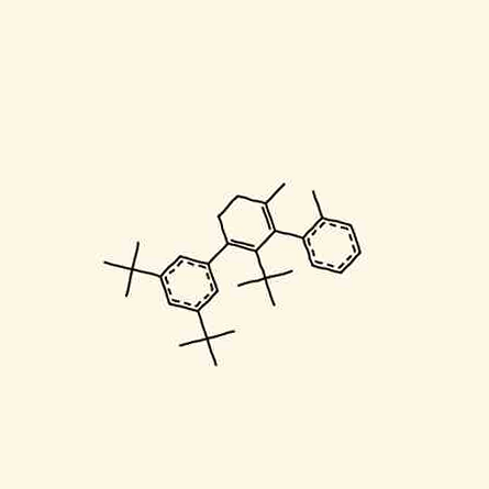 CC1=C(c2ccccc2C)C(C(C)(C)C)=C(c2cc(C(C)(C)C)cc(C(C)(C)C)c2)CC1